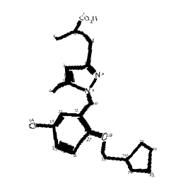 Cc1cc(CC(C)C(=O)O)nn1Cc1cc(Cl)ccc1OCC1CCCC1